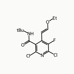 CCOC=Cc1c(F)c(Cl)nc(Cl)c1C(=O)NC(C)(C)C